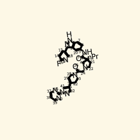 CCC[C@@]1(C(=O)Nc2ccc3[nH]nc(-c4ccc(F)nc4)c3c2)CCN(CC(=O)N2CC=C(c3cnn(-c4ncccn4)c3)CC2)C1